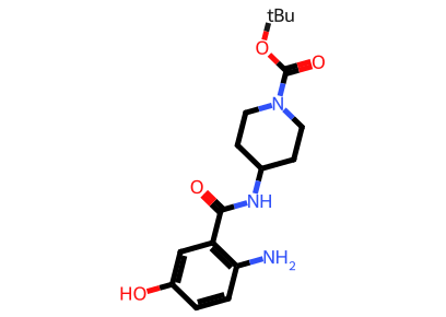 CC(C)(C)OC(=O)N1CCC(NC(=O)c2cc(O)ccc2N)CC1